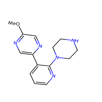 COc1cnc(-c2cccnc2N2CCNCC2)cn1